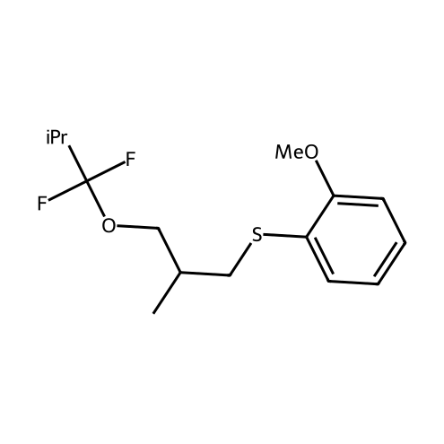 COc1ccccc1SCC(C)COC(F)(F)C(C)C